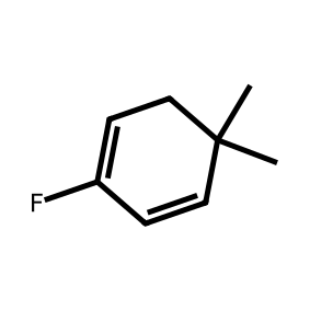 CC1(C)C=CC(F)=CC1